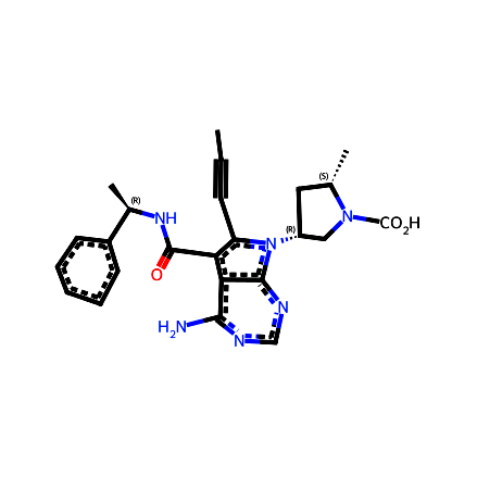 CC#Cc1c(C(=O)N[C@H](C)c2ccccc2)c2c(N)ncnc2n1[C@@H]1C[C@H](C)N(C(=O)O)C1